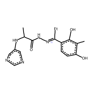 CC/C(=N\NC(=O)C(C)Nc1cncnc1)c1ccc(O)c(C)c1O